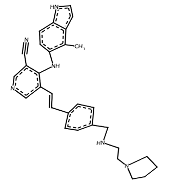 Cc1c(Nc2c(C#N)cncc2C=Cc2ccc(CNCCN3CCCC3)cc2)ccc2[nH]ccc12